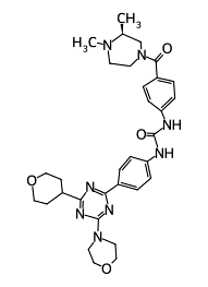 C[C@H]1CN(C(=O)c2ccc(NC(=O)Nc3ccc(-c4nc(C5CCOCC5)nc(N5CCOCC5)n4)cc3)cc2)CCN1C